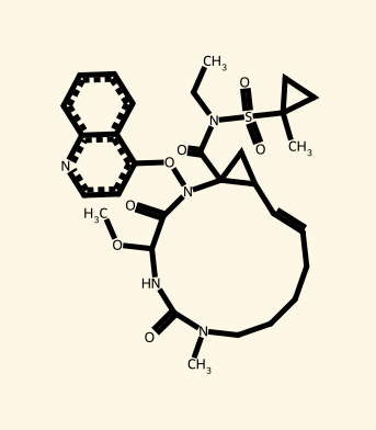 CCN(C(=O)C12CC1/C=C/CCCCN(C)C(=O)NC(OC)C(=O)N2Oc1ccnc2ccccc12)S(=O)(=O)C1(C)CC1